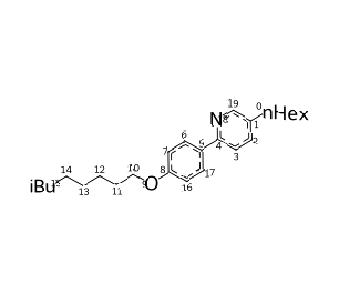 CCCCCCc1ccc(-c2ccc(OCCCCCC(C)CC)cc2)nc1